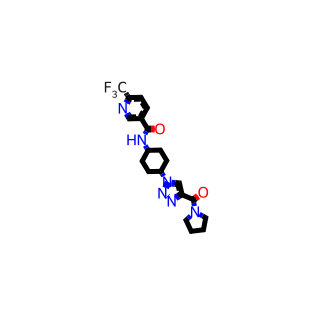 O=C(NC1CCC(n2cc(C(=O)N3CCCC3)nn2)CC1)c1ccc(C(F)(F)F)nc1